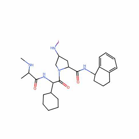 CNC(C)C(=O)NC(C(=O)N1CC(NI)CC1C(=O)NC1CCCc2ccccc21)C1CCCCC1